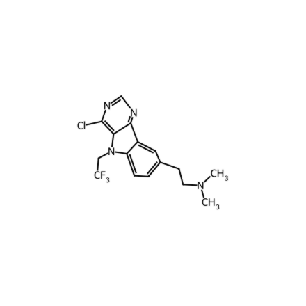 CN(C)CCc1ccc2c(c1)c1ncnc(Cl)c1n2CC(F)(F)F